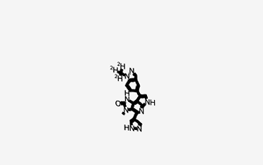 [2H]C([2H])([2H])n1ncc2cc(-c3c[nH]c4nc(-c5cn[nH]c5)c5c([nH]c(=O)n5C)c34)ccc21